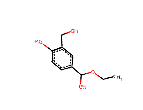 CCOC(O)c1ccc(O)c(CO)c1